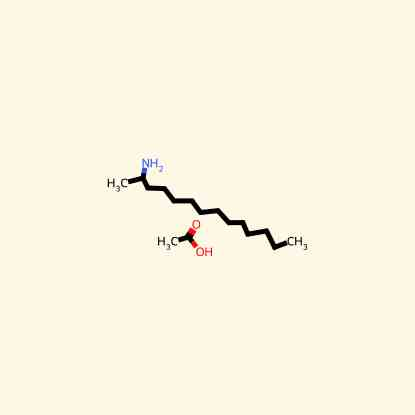 CC(=O)O.CCCCCCCCCCCCC(C)N